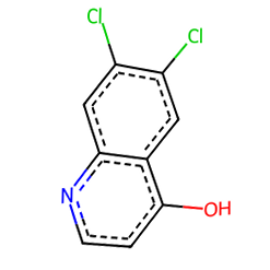 Oc1ccnc2cc(Cl)c(Cl)cc12